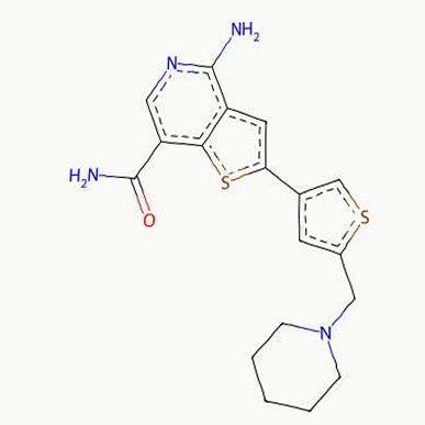 NC(=O)c1cnc(N)c2cc(-c3csc(CN4CCCCC4)c3)sc12